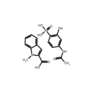 CC(=O)Nc1ccc([As](=O)(O)O)c(O)c1.Cn1c(C(=O)O)cc2ccccc21